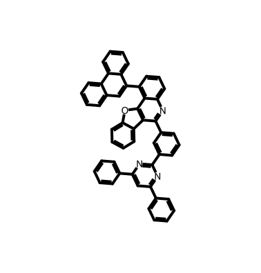 c1ccc(-c2cc(-c3ccccc3)nc(-c3cccc(-c4nc5cccc(-c6cc7ccccc7c7ccccc67)c5c5oc6ccccc6c45)c3)n2)cc1